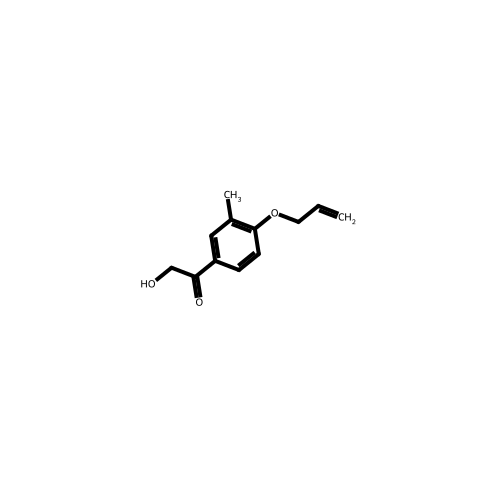 C=CCOc1ccc(C(=O)CO)cc1C